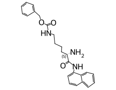 N[C@@H](CCCCNC(=O)OCc1ccccc1)C(=O)Nc1cccc2ccccc12